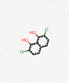 Oc1c(Cl)ccc2ccc(Cl)c(O)c12